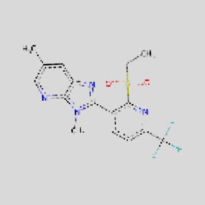 CCS(=O)(=O)c1nc(C(F)(F)F)ccc1-c1nc2cc(C)cnc2n1C